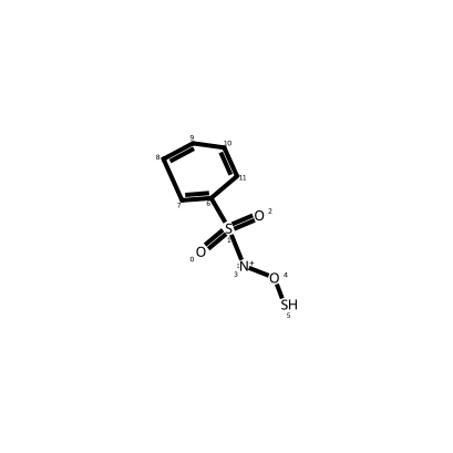 O=S(=O)([N+]OS)c1ccccc1